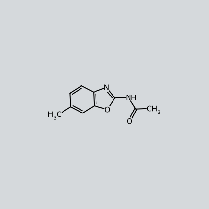 CC(=O)Nc1nc2ccc(C)cc2o1